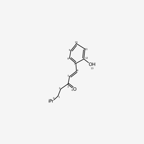 CC(C)CCC(=O)C=Cc1ccccc1O